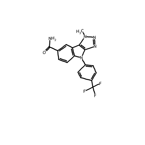 Cn1nnc2c1c1cc(C(N)=O)ccc1n2-c1ccc(C(F)(F)F)cc1